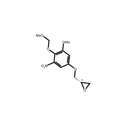 COCOc1c(OC)cc(OC[C@@H]2CO2)cc1[N+](=O)[O-]